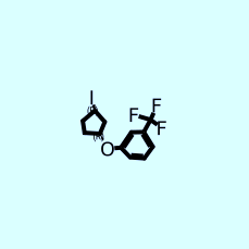 FC(F)(F)c1cccc(O[C@@H]2CC[C@@H](I)C2)c1